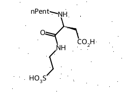 CCCCCN[C@@H](CC(=O)O)C(=O)NCCS(=O)(=O)O